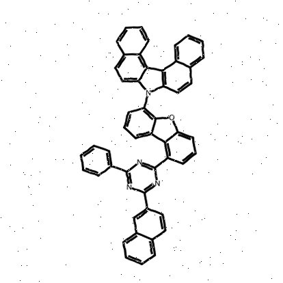 c1ccc(-c2nc(-c3ccc4ccccc4c3)nc(-c3cccc4oc5c(-n6c7ccc8ccccc8c7c7c8ccccc8ccc76)cccc5c34)n2)cc1